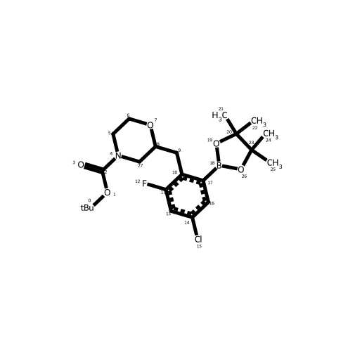 CC(C)(C)OC(=O)N1CCOC(Cc2c(F)cc(Cl)cc2B2OC(C)(C)C(C)(C)O2)C1